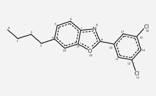 CCCCc1ccc2nc(-c3cc(Cl)cc(Cl)c3)oc2c1